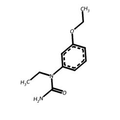 CCOc1cccc(N(CC)C(N)=O)c1